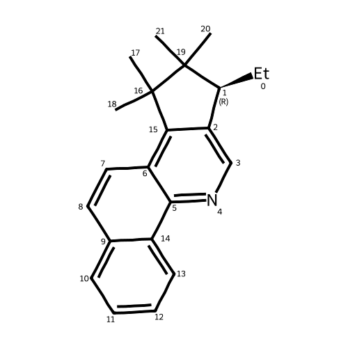 CC[C@H]1c2cnc3c(ccc4ccccc43)c2C(C)(C)C1(C)C